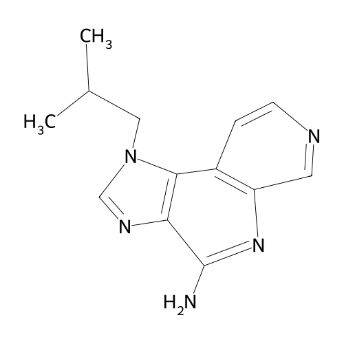 CC(C)Cn1cnc2c(N)nc3cnccc3c21